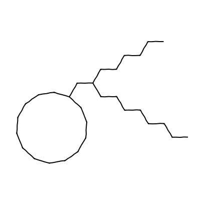 CCCCCCCCC(CCCCCC)CC1CCCCCCCCCCCCC1